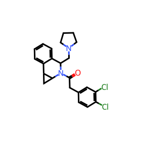 O=C(Cc1ccc(Cl)c(Cl)c1)N1C(CN2CCCC2)c2ccccc2C2CC21